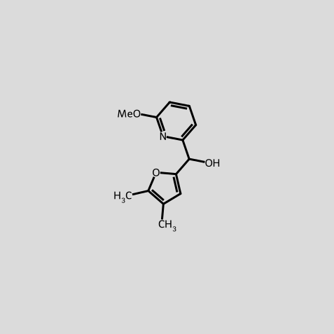 COc1cccc(C(O)c2cc(C)c(C)o2)n1